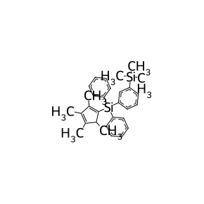 CC1=C(C)C(C)C([Si](c2ccccc2)(c2ccccc2)c2cccc([Si](C)(C)C)c2)=C1C